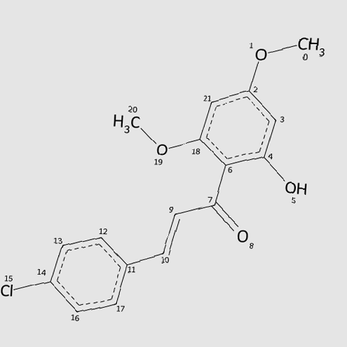 COc1cc(O)c(C(=O)C=Cc2ccc(Cl)cc2)c(OC)c1